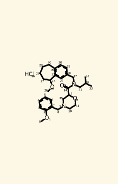 COc1ccccc1CN1CCOC(C(=O)N(Cc2ccc3c(c2)C(OC)CCCC3)CC(C)C)C1.Cl